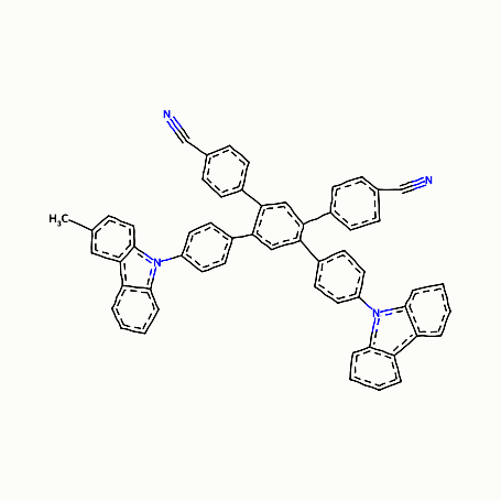 Cc1ccc2c(c1)c1ccccc1n2-c1ccc(-c2cc(-c3ccc(-n4c5ccccc5c5ccccc54)cc3)c(-c3ccc(C#N)cc3)cc2-c2ccc(C#N)cc2)cc1